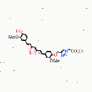 CCOC(=O)Cn1cc(COc2ccc(/C=C/C(O)=C/C(=O)/C=C/c3ccc(O)c(OC)c3)cc2OC)nn1